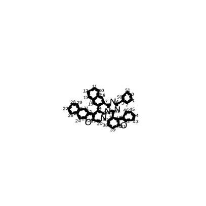 c1ccc(-c2nc(-c3cc4ccccc4cc3-c3cncc4oc5cc6ccccc6cc5c34)nc(-c3cccc4oc5ccccc5c34)n2)cc1